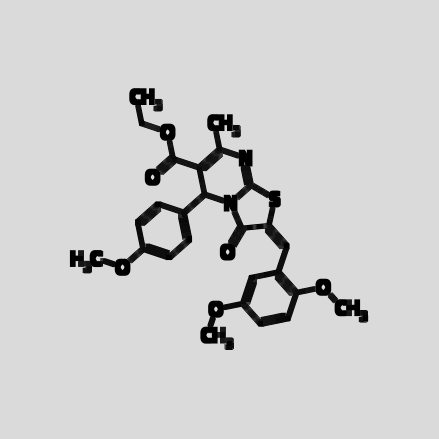 CCOC(=O)C1=C(C)N=c2s/c(=C/c3cc(OC)ccc3OC)c(=O)n2C1c1ccc(OC)cc1